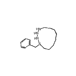 c1ccc(CN2CCCCCCCCNNN2)cc1